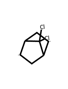 ClC1(Cl)C2[CH]CC1[CH]C2